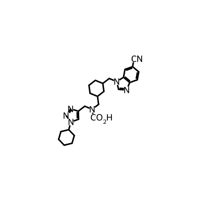 N#Cc1ccc2ncn(CC3CCCC(CN(Cc4cn(C5CCCCC5)nn4)C(=O)O)C3)c2c1